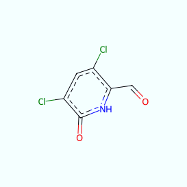 O=Cc1[nH]c(=O)c(Cl)cc1Cl